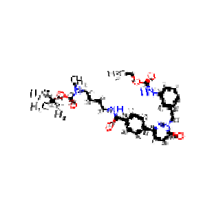 CCOC(=O)Nc1cccc(Cn2nc(-c3ccc(C(=O)NCCCCN(C)C(=O)OC(C)(C)C)cc3)ccc2=O)c1